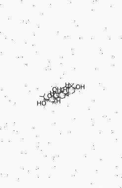 CC(C)[C@@H](O)[C@H]1C[C@@H](C)[C@H]2[C@H](O1)[C@H](O)[C@@]1(C)[C@@H]3CC[C@H]4C(C)(C)[C@@H](O)CC[C@@]45C[C@@]35CC[C@]21C